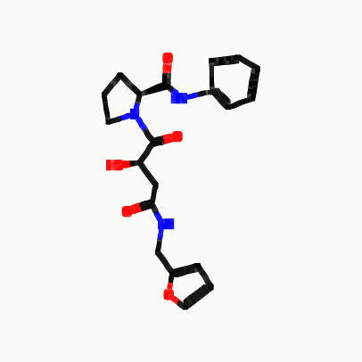 O=C(C[C@@H](O)C(=O)N1CCC[C@H]1C(=O)Nc1ccccc1)NCc1ccco1